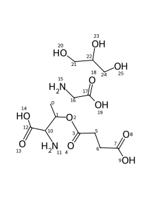 CC(OC(=O)CCC(=O)O)C(N)C(=O)O.NCC(=O)O.OCC(O)CO